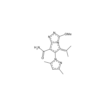 COc1nnc2c(C(N)=O)c(-n3nc(C)cc3C)c(=C(C)C)n12